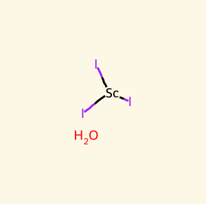 O.[I][Sc]([I])[I]